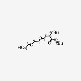 CCCCC(CCOCCOCCO)C(=O)OC(C)(C)C